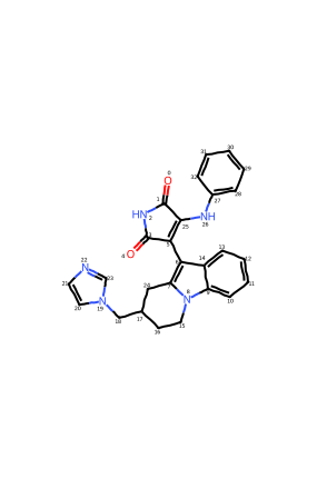 O=C1NC(=O)C(c2c3n(c4ccccc24)CCC(Cn2ccnc2)C3)=C1Nc1ccccc1